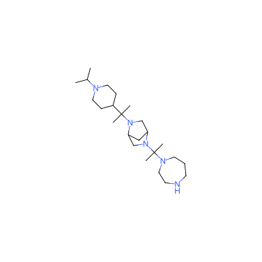 CC(C)N1CCC(C(C)(C)N2CC3CC2CN3C(C)(C)N2CCCNCC2)CC1